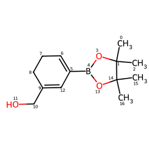 CC1(C)OB(C2=CCCC(CO)=C2)OC1(C)C